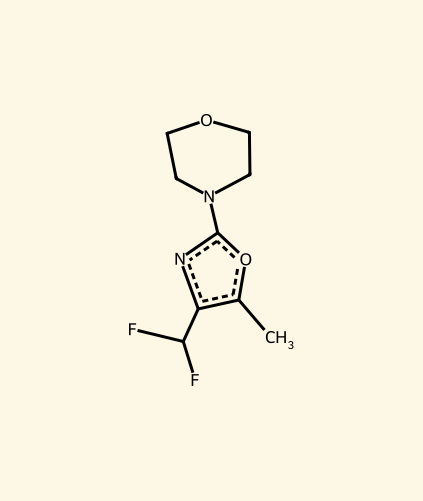 Cc1oc(N2CCOCC2)nc1C(F)F